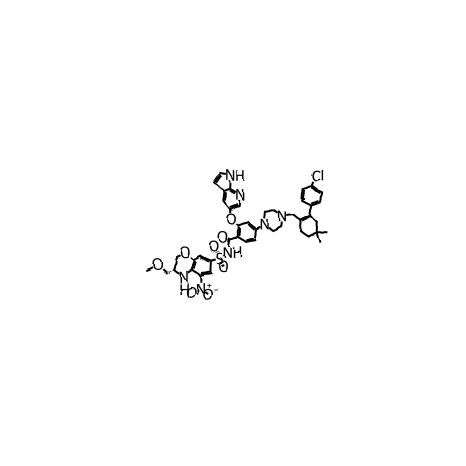 COC[C@@H]1COc2cc(S(=O)(=O)NC(=O)c3ccc(N4CCN(CC5=C(c6ccc(Cl)cc6)CC(C)(C)CC5)CC4)cc3Oc3cnc4[nH]ccc4c3)cc([N+](=O)[O-])c2N1